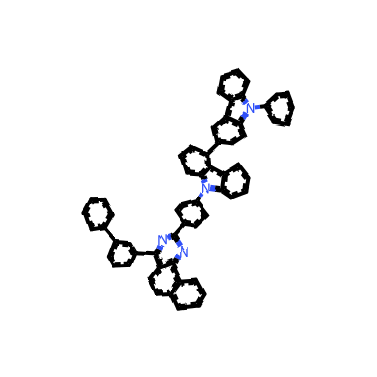 c1ccc(-c2cccc(-c3nc(-c4ccc(-n5c6ccccc6c6c(-c7ccc8c(c7)c7ccccc7n8-c7ccccc7)cccc65)cc4)nc4c3ccc3ccccc34)c2)cc1